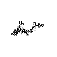 Cc1nn(C2CC3CCC(C2)N3C)cc1Nc1ncc(Br)c(NCCCNC(=O)C2CN(C)C2)n1